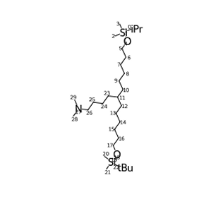 CC(C)[Si](C)(C)OCCCCCCC(CCCCCCO[Si](C)(C)C(C)(C)C)CCCCN(C)C